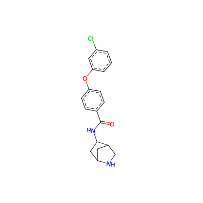 O=C(NC1CC2CC1CN2)c1ccc(Oc2cccc(Cl)c2)cc1